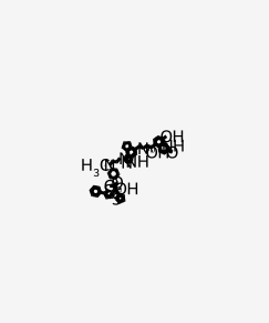 CN(CCCn1nnc2cc(CNC[C@H](O)c3ccc(O)c4[nH]c(=O)ccc34)c3c(c21)CCC3)[C@H]1CC[C@H](OC(=O)[C@](O)(c2cccs2)c2ccc(-c3ccccc3)s2)CC1